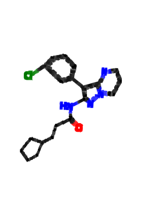 O=C(CCC1CCCC1)Nc1nn2cccnc2c1-c1cccc(Cl)c1